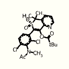 CC(=O)N(C)c1c(Cl)ccc(C2=C(OC(=O)C(C)(C)C)c3ncccc3C(C)(C)S2(=O)=O)c1Cl